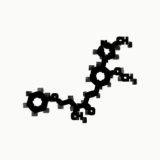 COc1cc(/C=C/C(=O)N(C)CCOc2ccccc2)ccc1-n1cnc(C)c1